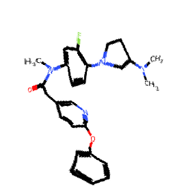 CN(C(=O)c1ccc(Oc2ccccc2)nc1)c1ccc(N2CCC(N(C)C)C2)c(F)c1